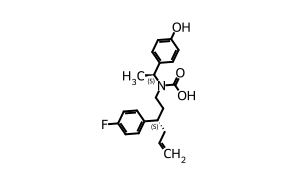 C=CC[C@@H](CCN(C(=O)O)[C@@H](C)c1ccc(O)cc1)c1ccc(F)cc1